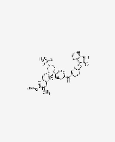 CN(Cc1ccccc1CN(CC(=O)Nc1ccc2c(c1)C[C@@]1(C2)C(=O)Nc2ncccc21)C(=O)C1(C)CCN(S(C)(=O)=O)CC1)C(=O)OC(C)(C)C